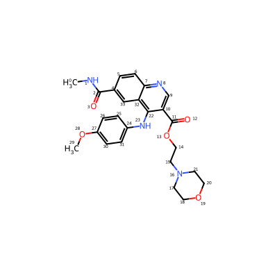 CNC(=O)c1ccc2ncc(C(=O)OCCN3CCOCC3)c(Nc3ccc(OC)cc3)c2c1